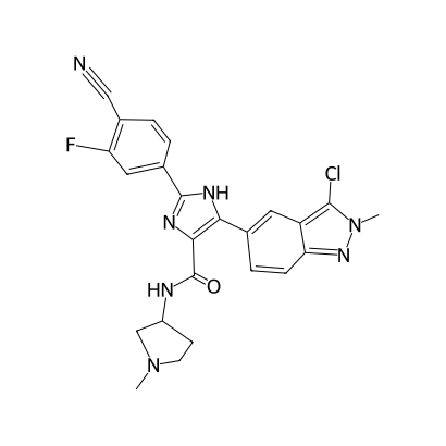 CN1CCC(NC(=O)c2nc(-c3ccc(C#N)c(F)c3)[nH]c2-c2ccc3nn(C)c(Cl)c3c2)C1